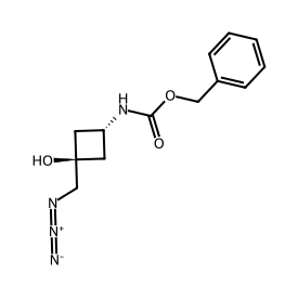 [N-]=[N+]=NC[C@]1(O)C[C@H](NC(=O)OCc2ccccc2)C1